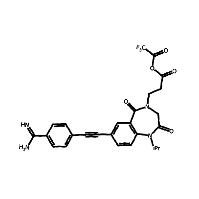 CC(C)N1C(=O)CN(CCC(=O)OC(=O)C(F)(F)F)C(=O)c2cc(C#Cc3ccc(C(=N)N)cc3)ccc21